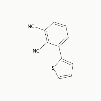 N#Cc1cccc(-c2cc[c]s2)c1C#N